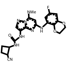 CNc1cc(Nc2cc(F)cc3c2OCCO3)nc2c(NC(=O)NC3CCC3C#N)cnn12